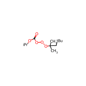 CC(C)OC(=O)OOOC(C)(C)CC(C)(C)C